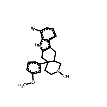 COc1cccc(C23CCN(C)CC2Cc2c([nH]c4c(Br)cccc24)C3)c1